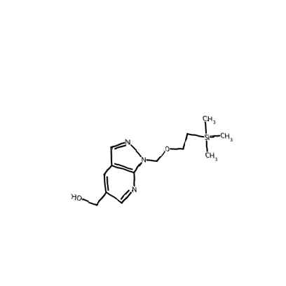 C[Si](C)(C)CCOCn1ncc2cc(CO)cnc21